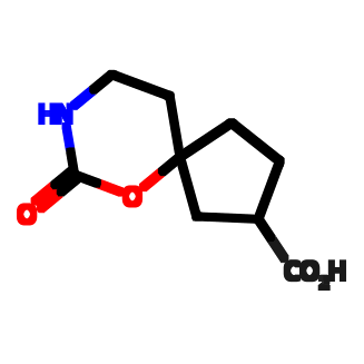 O=C1NCCC2(CCC(C(=O)O)C2)O1